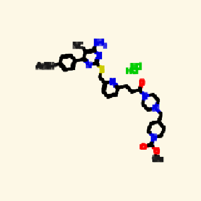 CC(=O)Nc1ccc(-c2nc(SCc3cccc(CCC(=O)N4CCN(CC5CCN(C(=O)OC(C)(C)C)CC5)CC4)n3)nc(N)c2C#N)cc1.Cl.Cl